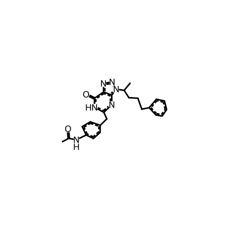 CC(=O)Nc1ccc(Cc2nc3c(nnn3C(C)CCCc3ccccc3)c(=O)[nH]2)cc1